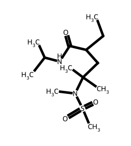 CCC(CC(C)(C)N(C)S(C)(=O)=O)C(=O)NC(C)C